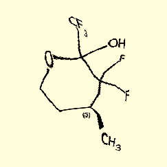 C[C@H]1CCOC(O)(C(F)(F)F)C1(F)F